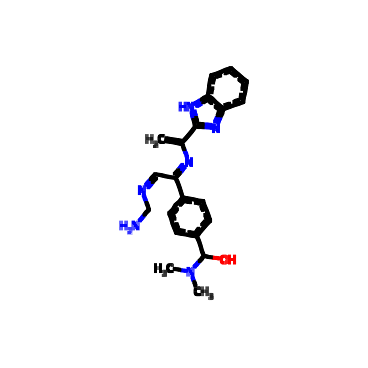 C=C(/N=C(\C=N/CN)c1ccc(C(O)N(C)C)cc1)c1nc2ccccc2[nH]1